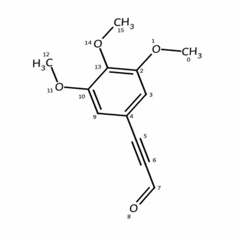 COc1cc(C#CC=O)cc(OC)c1OC